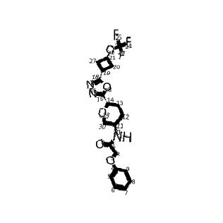 O=C(COc1ccccc1)N[C@@H]1CC[C@@H](c2nnc([C@H]3C[C@@H](OC(F)(F)F)C3)o2)OC1